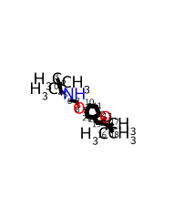 CC(C)(C)CNCCOc1ccc2oc(C(C)(C)C)cc2c1